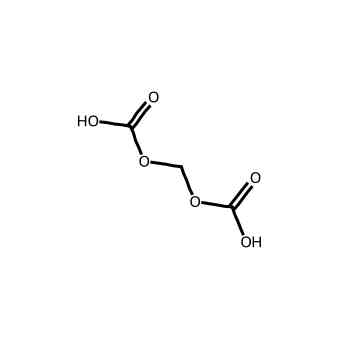 O=C(O)OCOC(=O)O